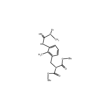 CCN(C)C(=N)Nc1cccc(CN(C(=O)OC(C)(C)C)C(=O)OC(C)(C)C)c1C